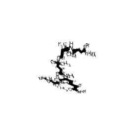 CCCCCCC(CCC)CCC(=O)NC(C)(C)CCOC(C)(CC)CCC(=O)NC(CCC(=O)C(C)CCCCCC)C(=O)NC(C)(C)CCOC(C)(C)C